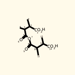 CC(C(=O)O)C(C)C(=O)OC(=O)C(C)C(C)C(=O)O